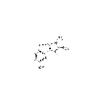 COc1ccc(OC)c(-c2cn(N)c(N)n2)c1